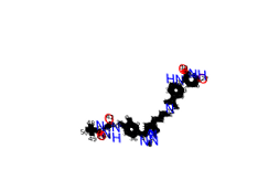 Cc1cc(-c2ncnn3cc(CCCCN4CC(c5ccc(N[C@H]6CCC(=O)NC6=O)cc5)C4)cc23)ccc1CNC(=O)c1noc(C(C)(C)C)n1